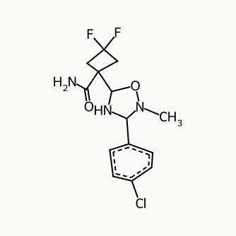 CN1OC(C2(C(N)=O)CC(F)(F)C2)NC1c1ccc(Cl)cc1